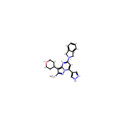 O=C(O)c1nn2c(-c3cn[nH]c3)cc(N3Cc4ccccc4C3)nc2c1C1CCOCC1